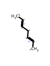 C/C=C/C/C=C/C